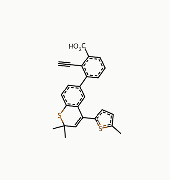 C#Cc1c(C(=O)O)cccc1-c1ccc2c(c1)C(c1ccc(C)s1)=CC(C)(C)S2